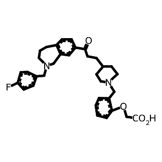 O=C(O)COc1ccccc1CN1CCC(CCC(=O)c2ccc3c(c2)CN(Cc2ccc(F)cc2)CCC3)CC1